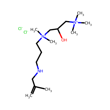 C=C(C)CNCCC[N+](C)(C)CC(O)C[N+](C)(C)C.[Cl-].[Cl-]